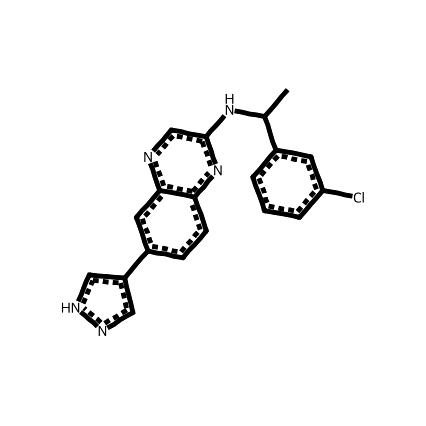 CC(Nc1cnc2cc(-c3cn[nH]c3)ccc2n1)c1cccc(Cl)c1